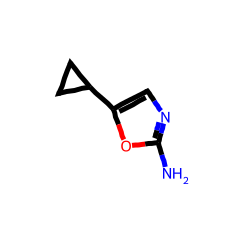 Nc1ncc(C2CC2)o1